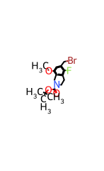 COc1cc(CBr)c(F)c2c1CN(C(=O)OC(C)(C)C)CC2